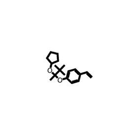 C=Cc1ccc(OC(C)(OC2CCCC2)C(C)(C)C)cc1